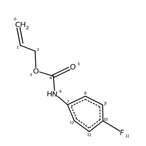 C=CCOC(=O)Nc1c[c]c(F)cc1